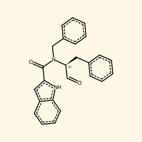 O=C[C@H](Cc1ccccc1)N(Cc1ccccc1)C(=O)c1cc2ccccc2[nH]1